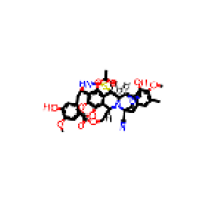 COc1cc2c(cc1O)CCNCS[C@@H]1c3c(OC(C)=O)c(C)c4c(c3[C@H](COC2=O)N2[C@@H]1[C@H]1c3c(cc(C)c(OC)c3O)CC2(C#N)CN1C)OCO4